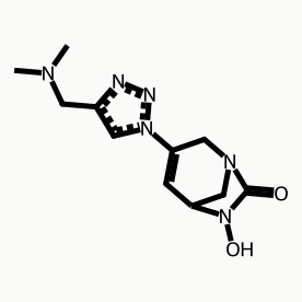 CN(C)Cc1cn(C2=CC3CN(C2)C(=O)N3O)nn1